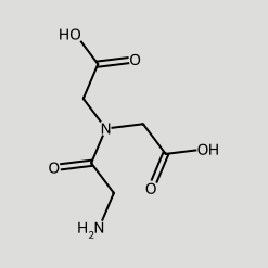 NCC(=O)N(CC(=O)O)CC(=O)O